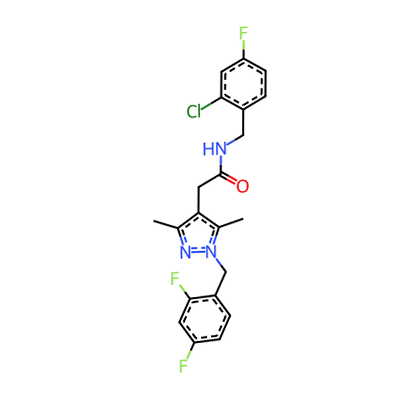 Cc1nn(Cc2ccc(F)cc2F)c(C)c1CC(=O)NCc1ccc(F)cc1Cl